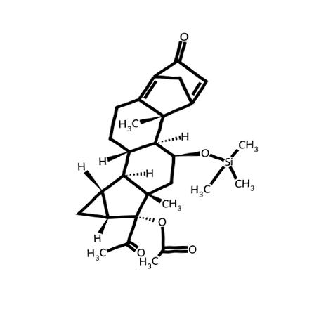 CC(=O)O[C@]1(C(C)=O)[C@@H]2C[C@@H]2[C@H]2[C@@H]3CCC4=C5CC(=CC5=O)[C@]4(C)[C@H]3[C@@H](O[Si](C)(C)C)C[C@@]21C